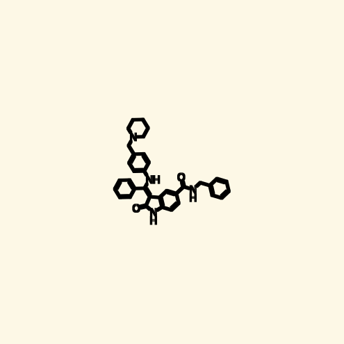 O=C1Nc2ccc(C(=O)NCc3ccccc3)cc2C1=C(Nc1ccc(CN2CCCCC2)cc1)c1ccccc1